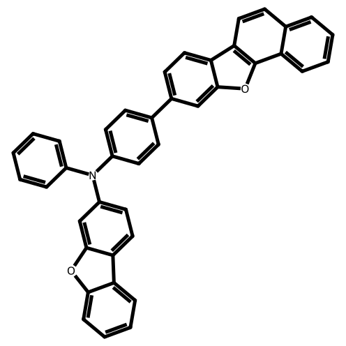 c1ccc(N(c2ccc(-c3ccc4c(c3)oc3c5ccccc5ccc43)cc2)c2ccc3c(c2)oc2ccccc23)cc1